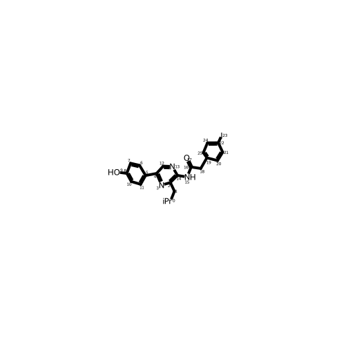 CC(C)Cc1nc(-c2ccc(O)cc2)cnc1NC(=O)Cc1ccc(I)cc1